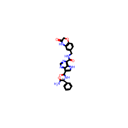 NC(=O)[C@@H](NC(=O)c1c[nH]c2c(C(=O)NCc3ccc4c(c3)NC(=O)CO4)ncnc12)c1ccccc1